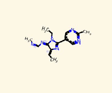 C\C=C1/N=C(c2cnc(C)nc2)N(CC)/C1=N/C=N\C